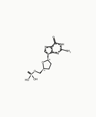 C=P(O)(O)OC[C@@H]1CC[C@H](n2cnc3c(=O)[nH]c(N)nc32)O1